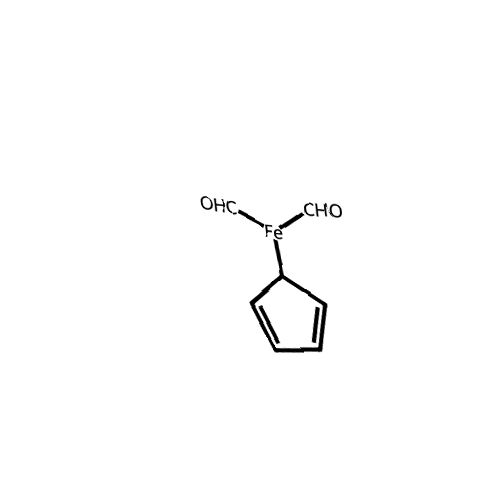 O=[CH][Fe]([CH]=O)[CH]1C=CC=C1